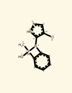 C[PH]1(O)c2ccccc2N1c1[nH]ncc1Cl